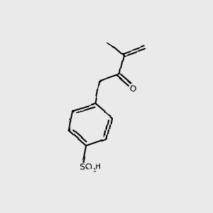 C=C(C)C(=O)Cc1ccc(S(=O)(=O)O)cc1